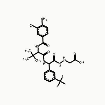 CC(C)(C)C(NC(=O)c1ccc(N)c(Cl)c1)C(=O)NC(C(=O)NNCC(=O)O)c1cccc(C(F)(F)F)c1